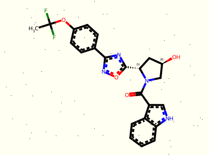 CC(F)(F)Oc1ccc(-c2noc([C@@H]3C[C@@H](O)CN3C(=O)c3c[nH]c4ccccc34)n2)cc1